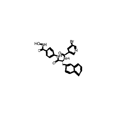 O=C(NO)c1ccc(NC(=O)[C@@H](Cc2ccc3ccccc3c2)NC(=O)c2cncc(Br)c2)cc1